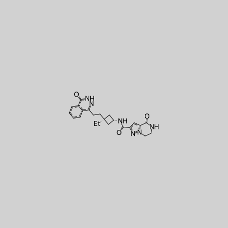 CC[C@]1(CCc2n[nH]c(=O)c3ccccc23)C[C@H](NC(=O)c2cc3n(n2)CCNC3=O)C1